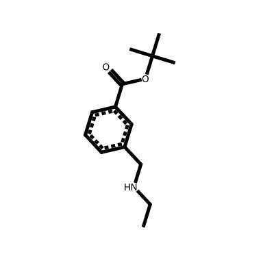 CCNCc1cccc(C(=O)OC(C)(C)C)c1